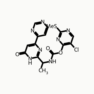 CSc1ncc(Cl)c(OC(=O)NC(C)c2nc(-c3ccncn3)cc(=O)[nH]2)n1